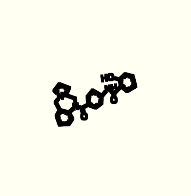 O=C(Nc1ccc(C(=O)N2Cc3cccn3Cc3ccccc32)cc1)c1ccccc1O